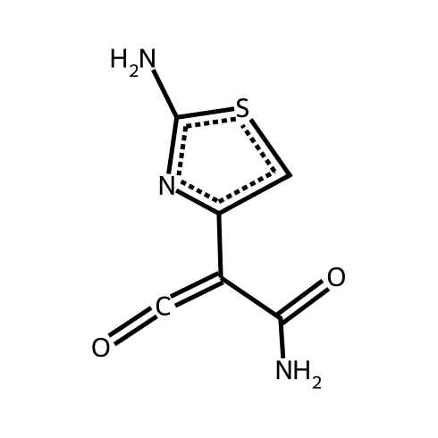 NC(=O)C(=C=O)c1csc(N)n1